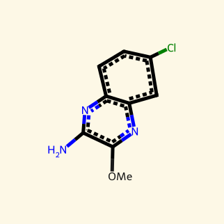 COc1nc2cc(Cl)ccc2nc1N